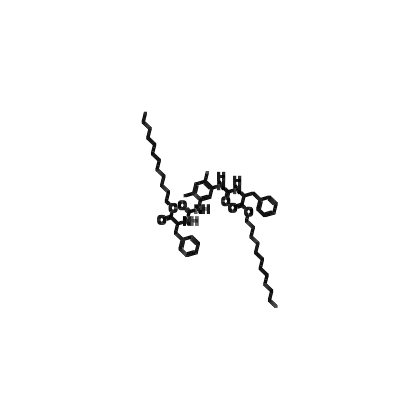 CCCCCCCCCCCCOC(=O)C(Cc1ccccc1)NC(=O)Nc1cc(NC(=O)NC(Cc2ccccc2)C(=O)OCCCCCCCCCCCC)c(C)cc1C